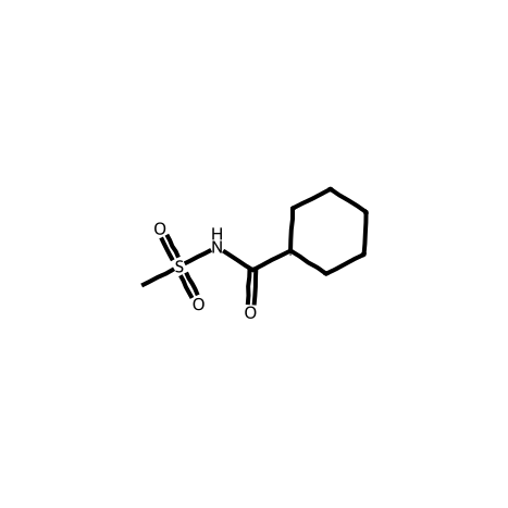 CS(=O)(=O)NC(=O)[C]1CCCCC1